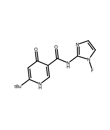 CC(C)(C)c1cc(=O)c(C(=O)Nc2nccn2F)c[nH]1